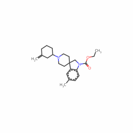 C=C1CCCC(N2CCC3(CC2)CN(C(=O)OCC)c2ccc(C)cc23)C1